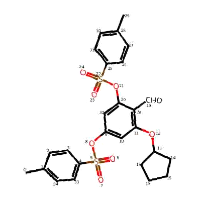 Cc1ccc(S(=O)(=O)Oc2cc(OC3CCCC3)c(C=O)c(OS(=O)(=O)c3ccc(C)cc3)c2)cc1